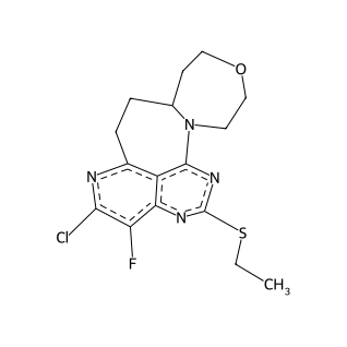 CCSc1nc2c3c(nc(Cl)c(F)c3n1)CCC1CCOCCN21